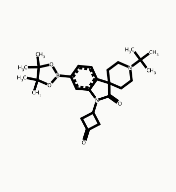 CC(C)(C)N1CCC2(CC1)C(=O)N(C1CC(=O)C1)c1cc(B3OC(C)(C)C(C)(C)O3)ccc12